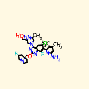 Cc1cc(N)nc(-c2c(Cl)cc3c(N4CC(C)NC(CO)C4)nc(OC[C@@]45CCCN4C[C@H](F)C5)nc3c2F)c1C(F)(F)F